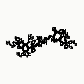 Cc1c(C)c(S(=O)(=O)NC(=N)NCCC[C@@H](NC(=O)OC(C)(C)C)C(=O)O)c(C)c2c1OC(C)(C)C2